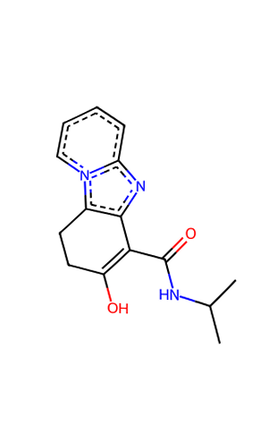 CC(C)NC(=O)C1=C(O)CCc2c1nc1ccccn21